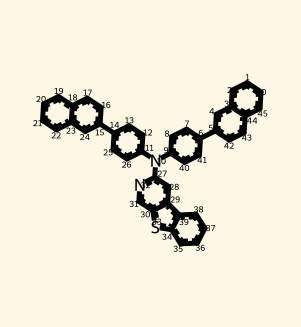 c1ccc2cc(-c3ccc(N(c4ccc(-c5ccc6ccccc6c5)cc4)c4cc5c(cn4)sc4ccccc45)cc3)ccc2c1